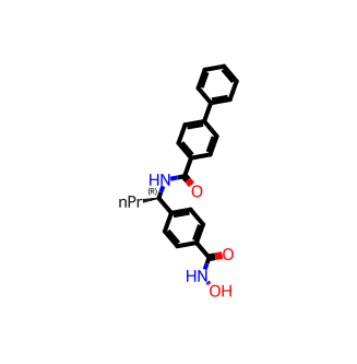 CCC[C@@H](NC(=O)c1ccc(-c2ccccc2)cc1)c1ccc(C(=O)NO)cc1